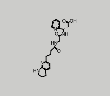 O=C(O)C[C@H](NC(=O)CNC(=O)CCCc1ccc2c(n1)NCCC2)c1ccccn1